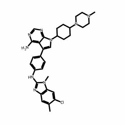 Cc1cc2nc(Nc3ccc(-c4cn(C5CCC(N6CCN(C)CC6)CC5)c5ncnc(N)c45)cc3)n(C)c2cc1Cl